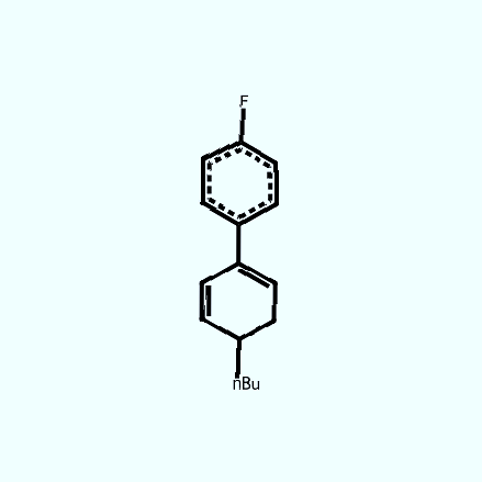 CCCCC1C=CC(c2ccc(F)cc2)=CC1